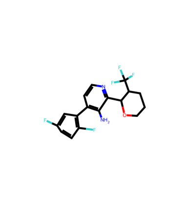 Nc1c(-c2cc(F)ccc2F)ccnc1C1OCCCC1C(F)(F)F